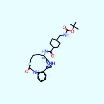 CC(C)(C)OC(=O)NCC1CCC(C(=O)N[C@H]2CCCCC(=O)Nc3ccccc3-c3c[nH]c2n3)CC1